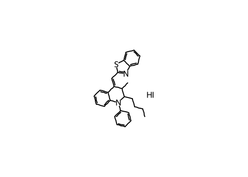 CCCCC1C(C)C(=Cc2nc3ccccc3s2)c2ccccc2N1c1ccccc1.I